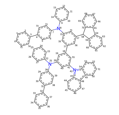 c1ccc(-c2ccc(N(c3ccccc3)c3cc(-c4cc(N(c5ccccc5)c5ccc(-c6ccccc6)cc5)cc(-n5c6ccccc6c6ccccc65)c4)cc(C4c5ccccc5-c5ccccc54)c3)cc2)cc1